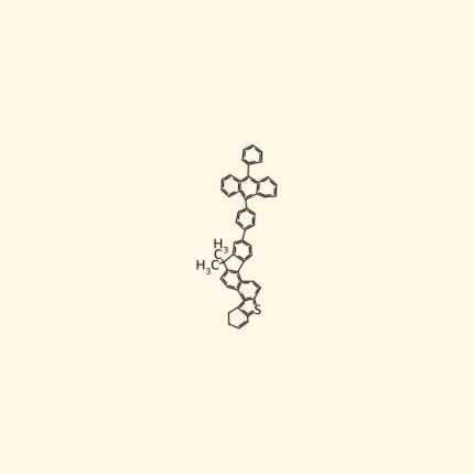 CC1(C)c2cc(-c3ccc(-c4c5ccccc5c(-c5ccccc5)c5ccccc45)cc3)ccc2-c2c1ccc1c2ccc2sc3c(c21)CCC=C3